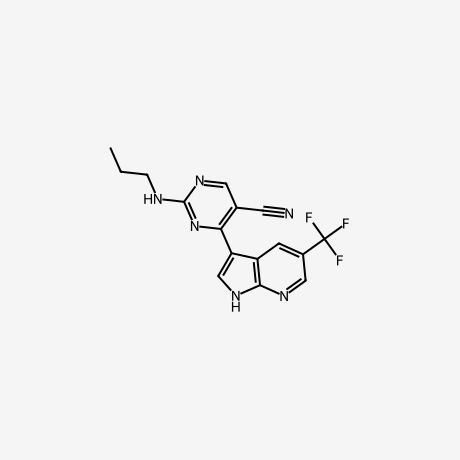 CCCNc1ncc(C#N)c(-c2c[nH]c3ncc(C(F)(F)F)cc23)n1